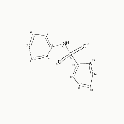 O=S(=O)(Nc1ccccc1)c1ccccn1